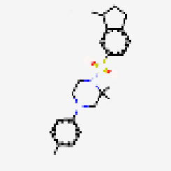 CC1(C)CN(c2ccc(C(F)(F)F)cc2)CCN1S(=O)(=O)c1ccc2c(c1)C(C(=O)O)CC2